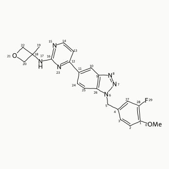 COc1ccc(Cn2nnc3cc(-c4ccnc(NC5(C)COC5)n4)ccc32)cc1F